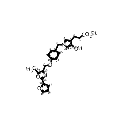 CCOC(=O)CCc1cn(Cc2ccc(OCc3nc(-c4ccco4)oc3C)cc2)nc1O